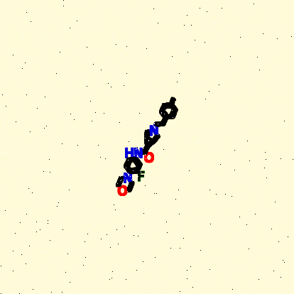 Cc1ccc(CCN2CC3C(C2)C3C(=O)Nc2ccc(N3CCOCC3)c(F)c2)cc1